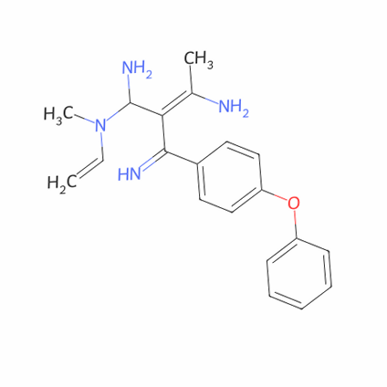 C=CN(C)C(N)/C(C(=N)c1ccc(Oc2ccccc2)cc1)=C(\C)N